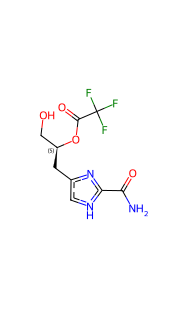 NC(=O)c1nc(C[C@@H](CO)OC(=O)C(F)(F)F)c[nH]1